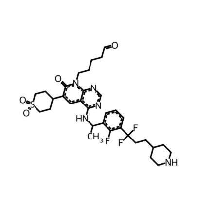 CC(Nc1ncnc2c1cc(C1CCS(=O)(=O)CC1)c(=O)n2CCCCC=O)c1cccc(C(F)(F)CCC2CCNCC2)c1F